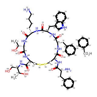 CC(O)[C@@H]1NC(=O)[C@H](CCCCN)NC(=O)[C@@H](Cc2c[nH]c3ccccc23)NC(=O)[C@H](Cc2ccccc2)NC(=O)[C@@H](NC(=O)[C@H](N)Cc2ccccc2)CSSC[C@@H](C(=O)N[C@H](CO)[C@@H](C)O)NC1=O.O=C(O)c1ccccc1